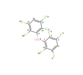 Fc1cc(F)c(F)c(Bc2c(F)c(F)cc(F)c2F)c1F